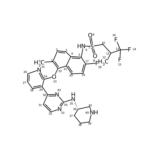 Cc1ccc2c(NS(=O)(=O)CC(C)C(F)(F)F)c(F)ccc2c1Oc1ncccc1-c1ccnc(N[C@H]2CCCNC2)n1